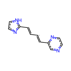 [C](=Cc1cnccn1)C=Cc1ncc[nH]1